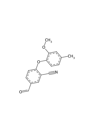 COc1cc(C)ccc1Oc1ccc(C=O)cc1C#N